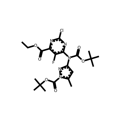 CCOC(=O)c1nc(Cl)nc(N(C(=O)OC(C)(C)C)c2cc(C)n(C(=O)OC(C)(C)C)n2)c1F